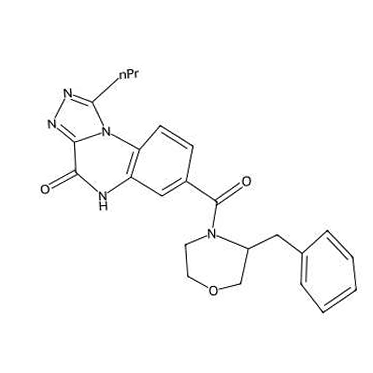 CCCc1nnc2c(=O)[nH]c3cc(C(=O)N4CCOCC4Cc4ccccc4)ccc3n12